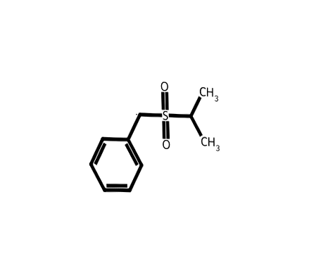 CC(C)S(=O)(=O)[CH]c1ccccc1